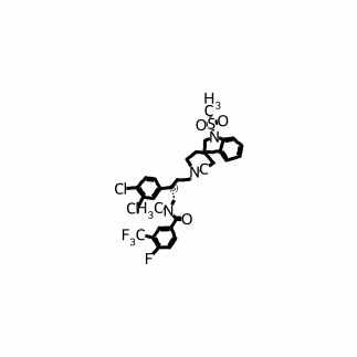 CN(C[C@@H](CCN1CCC2(CC1)CN(S(C)(=O)=O)c1ccccc12)c1ccc(Cl)c(Cl)c1)C(=O)c1ccc(F)c(C(F)(F)F)c1